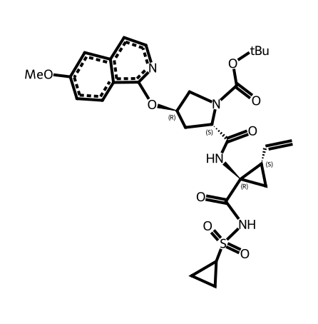 C=C[C@@H]1C[C@]1(NC(=O)[C@@H]1C[C@@H](Oc2nccc3cc(OC)ccc23)CN1C(=O)OC(C)(C)C)C(=O)NS(=O)(=O)C1CC1